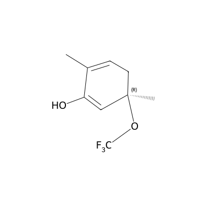 CC1=CC[C@@](C)(OC(F)(F)F)C=C1O